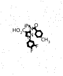 CC1CCC(C(=O)N(c2nn(-c3ccc(F)c(F)c3)cc2C(=O)O)C(C)C)CC1